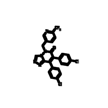 O=c1c(-c2ccc(Cl)cc2)c(-c2ccc(Cl)cc2)c2nncn2n1Cc1ccc(C(F)(F)F)nc1